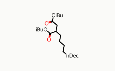 CCCCCCCCCCCCCCC(CC(=O)OCC(C)C)C(=O)OCC(C)C